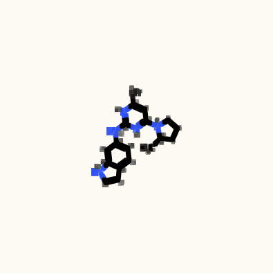 CCCc1cc(N2CCC[C@H]2C)nc(Nc2ccc3cc[nH]c3c2)n1